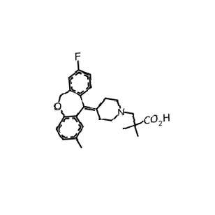 Cc1ccc2c(c1)C(=C1CCN(CC(C)(C)C(=O)O)CC1)c1ccc(F)cc1CO2